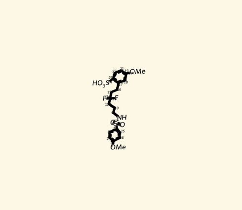 COc1ccc(S(=O)(=O)NCCCC(F)(F)CCc2cc(OC)ccc2S(=O)(=O)O)cc1